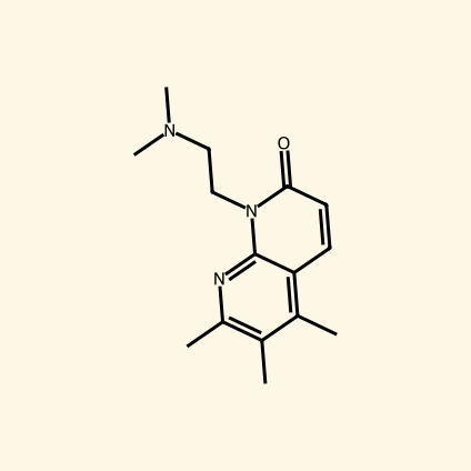 Cc1nc2c(ccc(=O)n2CCN(C)C)c(C)c1C